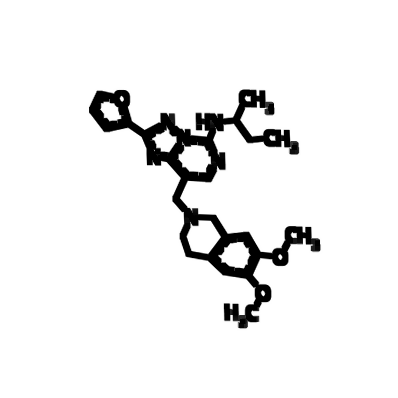 CCC(C)Nc1ncc(CN2CCc3cc(OC)c(OC)cc3C2)c2nc(-c3ccco3)nn12